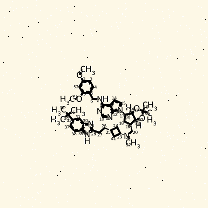 COc1ccc(CNc2ncnc3c2ccn3[C@@H]2C[C@H](CN(C)[C@H]3C[C@H](CCc4nc5cc(C(C)(C)C)ccc5[nH]4)C3)[C@H]3OC(C)(C)O[C@H]32)c(OC)c1